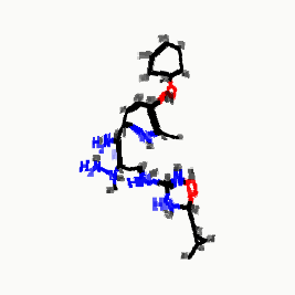 Cc1nc(/C(N)=C(\CNC2=NOC(C3CC3C)N2)N(C)N)ccc1OC1CCCCC1